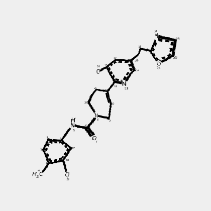 Cc1ccc(NC(=O)N2CC=C(c3ncc(Cc4ncco4)cc3Cl)CC2)cc1Cl